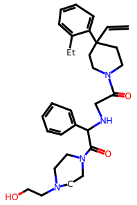 C=CC1(c2ccccc2CC)CCN(C(=O)CNC(C(=O)N2CCN(CCO)CC2)c2ccccc2)CC1